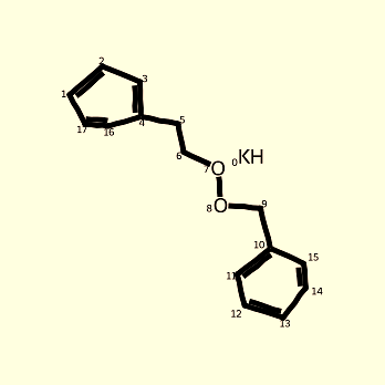 [KH].c1ccc(CCOOCc2ccccc2)cc1